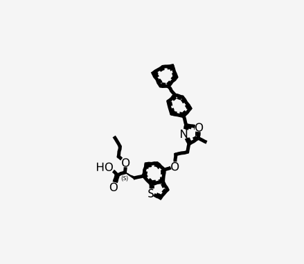 CCCO[C@@H](Cc1ccc(OCCc2nc(-c3ccc(-c4ccccc4)cc3)oc2C)c2ccsc12)C(=O)O